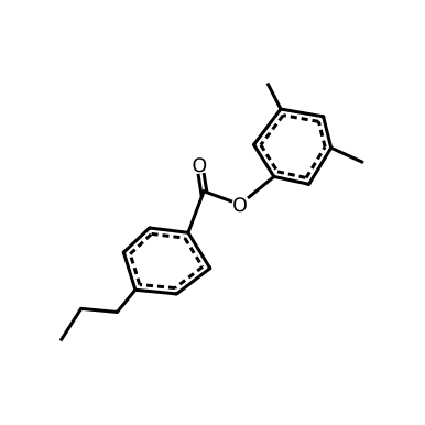 CCCc1ccc(C(=O)Oc2cc(C)cc(C)c2)cc1